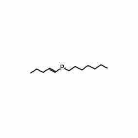 CCC/C=C/[P]CCCCCCC